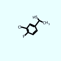 CC(S)c1ccc(F)c(Cl)c1